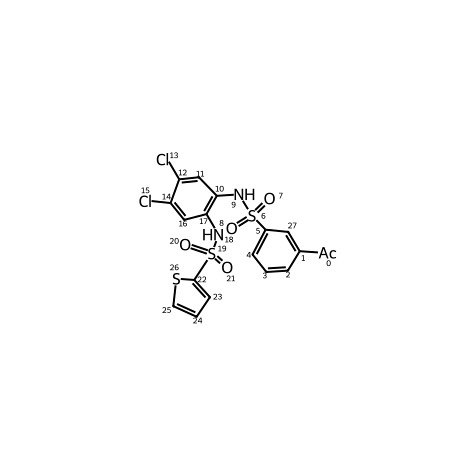 CC(=O)c1cccc(S(=O)(=O)Nc2cc(Cl)c(Cl)cc2NS(=O)(=O)c2cccs2)c1